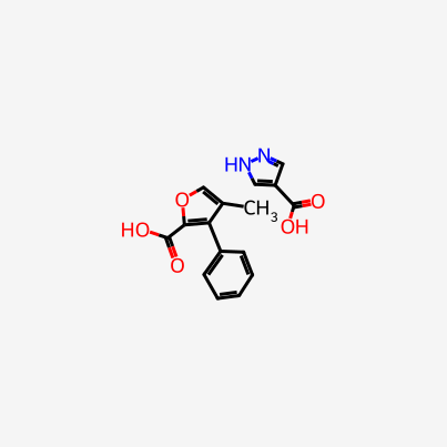 Cc1coc(C(=O)O)c1-c1ccccc1.O=C(O)c1cn[nH]c1